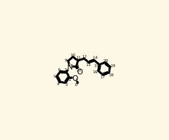 COc1ccccc1N1CCC(CC=Cc2ccccc2)C1=O